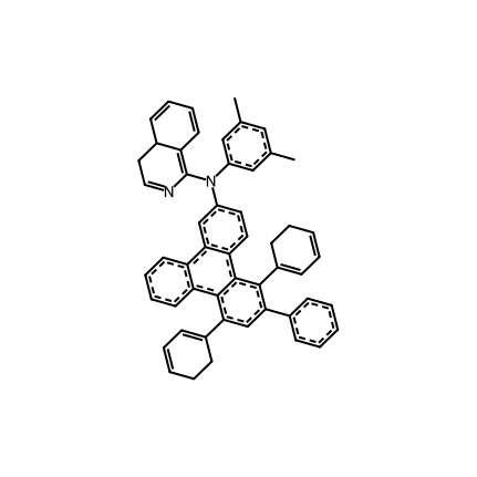 Cc1cc(C)cc(N(C2=C3C=CC=CC3CC=N2)c2ccc3c(c2)c2ccccc2c2c(C4=CC=CCC4)cc(-c4ccccc4)c(C4=CC=CCC4)c32)c1